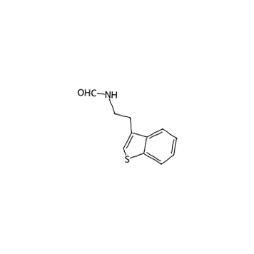 O=CNCCc1csc2ccccc12